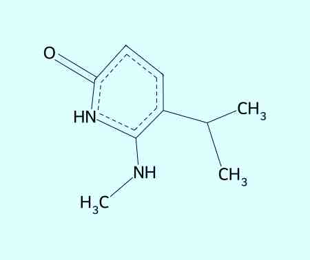 CNc1[nH]c(=O)ccc1C(C)C